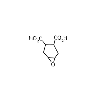 O=C(O)C1CC2OC2CC1C(=O)O